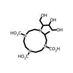 CC1CN(C(=O)O)CCN(C(=O)O)CCN(C(=O)O)CCN1C(CO)C(O)CO